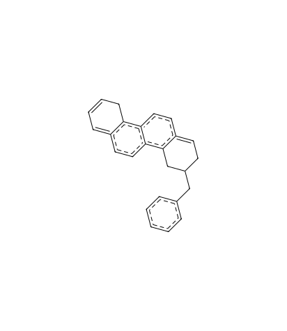 C1=CCc2c(ccc3c4c(ccc23)=CCC(Cc2ccccc2)C4)=C1